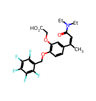 CCN(CC)C(=O)/C=C(/C)c1ccc(OCc2c(F)c(F)c(F)c(F)c2F)c(OCC(=O)O)c1